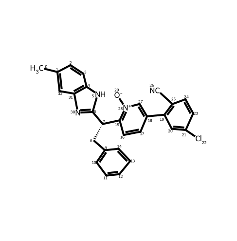 Cc1ccc2[nH]c([C@@H](Cc3ccccc3)c3ccc(-c4cc(Cl)ccc4C#N)c[n+]3[O-])nc2c1